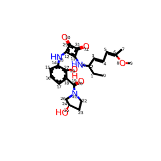 CCC(/C=C/C=C(/C)OC)Nc1c(Nc2cccc(C(=O)N3CC[C@@H](O)C3)c2O)c(=O)c1=O